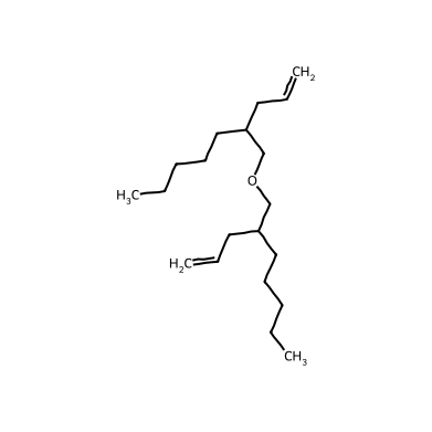 C=CCC(CCCCC)COCC(CC=C)CCCCC